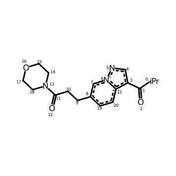 CC(C)C(=O)c1cnn2cc(CCC(=O)N3CCOCC3)ccc12